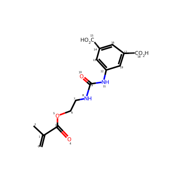 C=C(C)C(=O)OCCNC(=O)Nc1cc(C(=O)O)cc(C(=O)O)c1